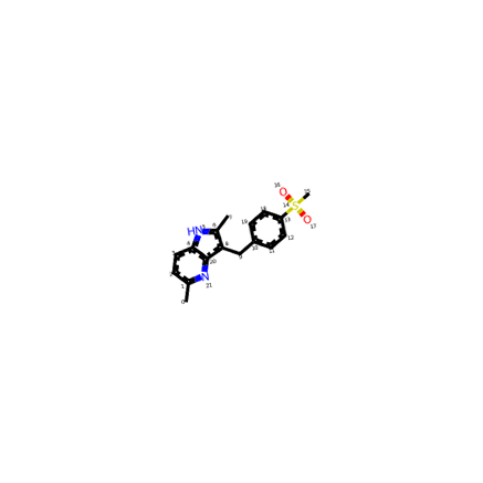 Cc1ccc2[nH]c(C)c(Cc3ccc(S(C)(=O)=O)cc3)c2n1